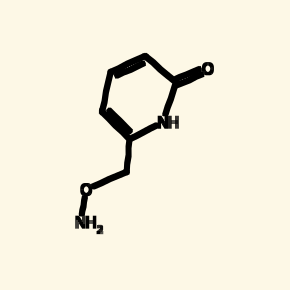 NOCc1cccc(=O)[nH]1